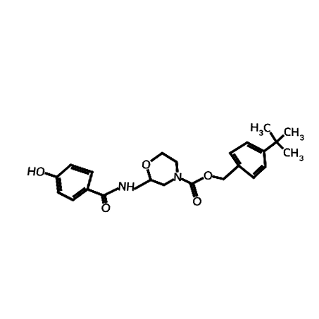 CC(C)(C)c1ccc(COC(=O)N2CCOC(CNC(=O)c3ccc(O)cc3)C2)cc1